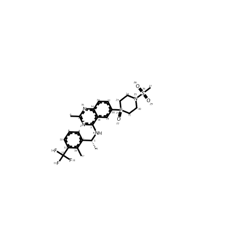 Cc1nc(N[C@H](C)c2cccc(C(F)(F)F)c2C)c2cc(P3(=O)CCN(S(C)(=O)=O)CC3)ccc2n1